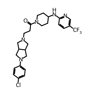 O=C(CCN1CC2CN(c3ccc(Cl)cc3)CC2C1)N1CCC(Nc2ccc(C(F)(F)F)cn2)CC1